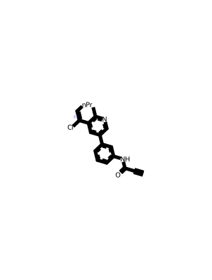 C#CC(=O)Nc1cccc(-c2cnc(C)c(/C(Cl)=C\CCC)c2)c1